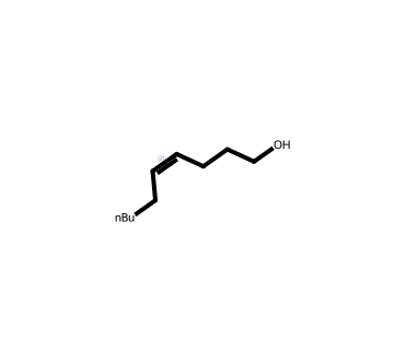 CCCCC/C=C\CCCO